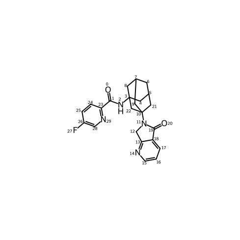 O=C(NC12CC3CC(C1)CC(N1Cc4ncccc4C1=O)(C3)C2)c1ccc(F)cn1